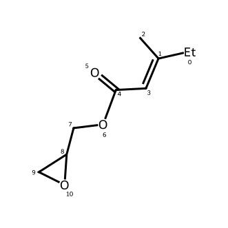 CCC(C)=CC(=O)OCC1CO1